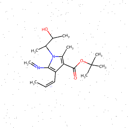 C=Nc1c(/C=C\C)c(C(=O)OC(C)(C)C)c(C)n1C(C)C(C)O